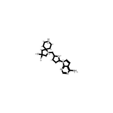 Nc1ncnc2c1ccn2C1CCC(CN2CC(F)(F)CC23CCNCC3)O1